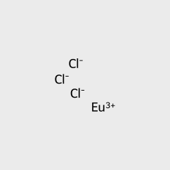 [Cl-].[Cl-].[Cl-].[Eu+3]